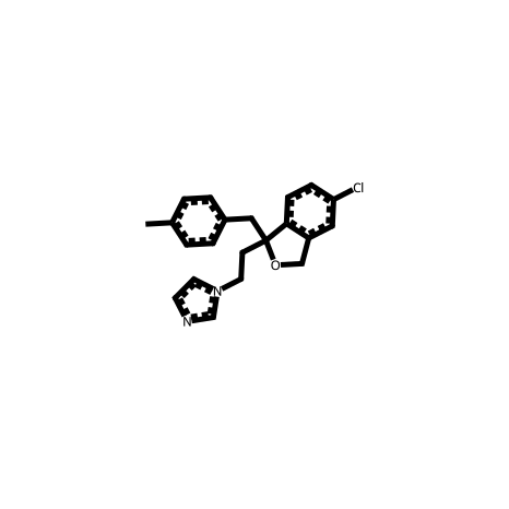 Cc1ccc(CC2(CCn3ccnc3)OCc3cc(Cl)ccc32)cc1